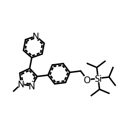 CC(C)[Si](OCc1ccc(-c2nn(C)cc2-c2ccncc2)cc1)(C(C)C)C(C)C